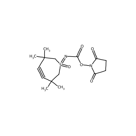 CC1(C)C#CC(C)(C)CS(=O)(=NC(=O)ON2C(=O)CCC2=O)C1